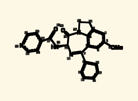 COc1cc2c3c(c1)C(c1ccccc1)=N[C@@H](NC(=O)c1ccncc1)C(=O)N3CC2